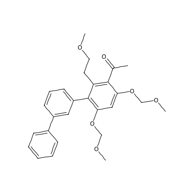 COCCc1c(C(C)=O)c(OCOC)cc(OCOC)c1-c1cccc(-c2ccccc2)c1